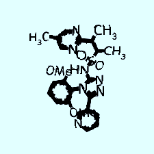 COc1cccc(OC)c1-n1c(NS(=O)(=O)C(C)C(C)c2ncc(C)cn2)nnc1-c1cccnc1